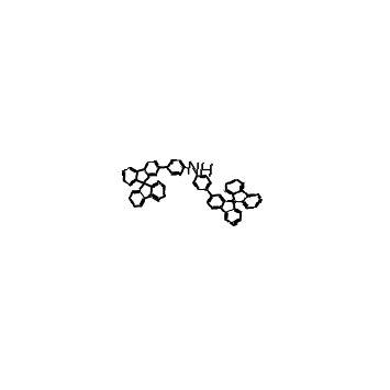 c1ccc2c(c1)-c1ccccc1C21c2ccccc2-c2ccc(-c3ccc(Nc4ccc(-c5ccc6c(c5)C5(c7ccccc7-c7ccccc75)c5ccccc5-6)cc4)cc3)cc21